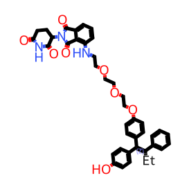 CC/C(=C(\c1ccc(O)cc1)c1ccc(OCCOCCOCCNc2cccc3c2C(=O)N(C2CCC(=O)NC2=O)C3=O)cc1)c1ccccc1